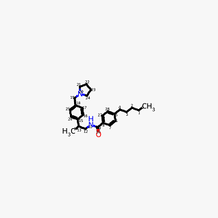 CCCCCc1ccc(C(=O)NCC(C)c2ccc(CN3CCCC3)cc2)cc1